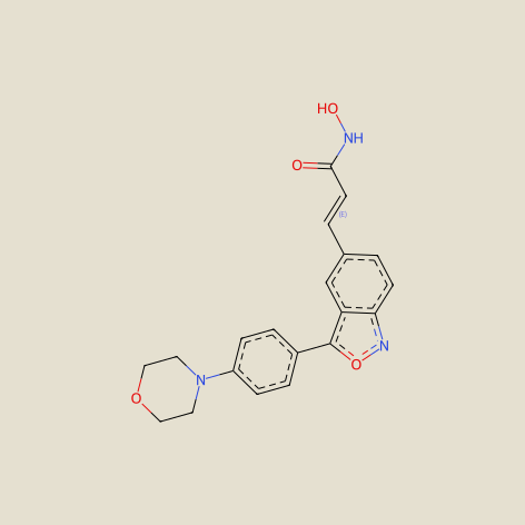 O=C(/C=C/c1ccc2noc(-c3ccc(N4CCOCC4)cc3)c2c1)NO